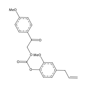 C=CCc1ccc(OC(=O)OCC(=O)c2ccc(OC)cc2)c(OC)c1